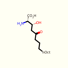 CCCCCCCCCCCC(=O)C[C@@H](O)[C@H](N)C(=O)O